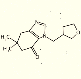 CC1(C)CC(=O)c2c(ncn2CC2CCOC2)C1